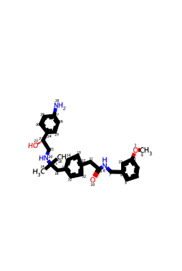 COc1cccc(CNC(=O)Cc2ccc(CC(C)(C)NC[C@H](O)c3ccc(N)cc3)cc2)c1